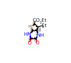 CCOC(=O)c1sc2[nH]c(=O)c(=O)[nH]c2c1CC